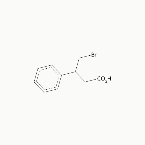 O=C(O)CC(CBr)c1ccccc1